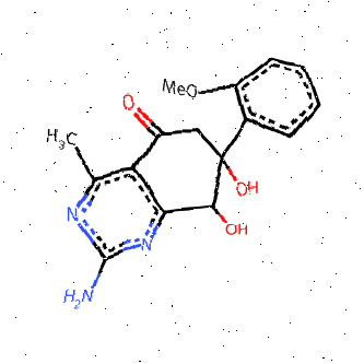 COc1ccccc1C1(O)CC(=O)c2c(C)nc(N)nc2C1O